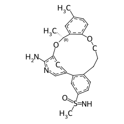 Cc1ccc2c(c1)[C@@H](C)Oc1cc(cnc1N)-c1cc(S(C)(=N)=O)ccc1CCCO2